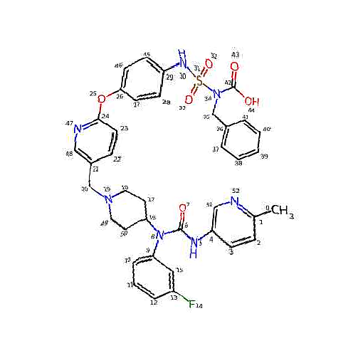 Cc1ccc(NC(=O)N(c2cccc(F)c2)C2CCN(Cc3ccc(Oc4ccc(NS(=O)(=O)N(Cc5ccccc5)C(=O)O)cc4)nc3)CC2)cn1